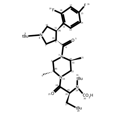 C[C@@H]1CN(C(=O)[C@@H]2CN(C(C)(C)C)C[C@H]2c2ccc(F)cc2F)[C@@H](C)CN1C(=O)[C@H](CC(C)(C)C)N(C(=O)O)C(C)(C)C